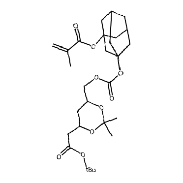 C=C(C)C(=O)OC12CC3CC(CC(OC(=O)OCC4CC(CC(=O)OC(C)(C)C)OC(C)(C)O4)(C3)C1)C2